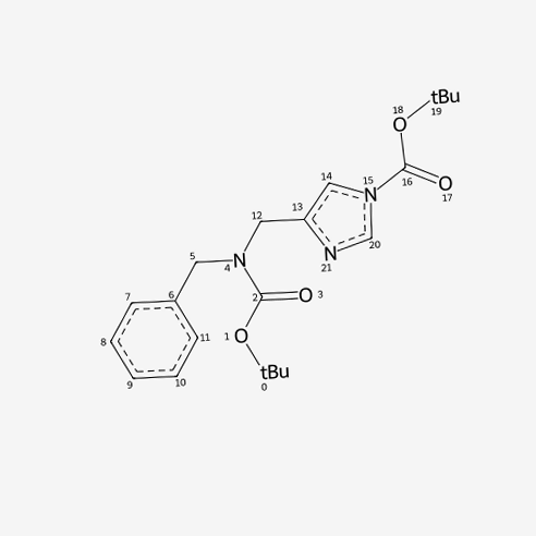 CC(C)(C)OC(=O)N(Cc1ccccc1)Cc1cn(C(=O)OC(C)(C)C)cn1